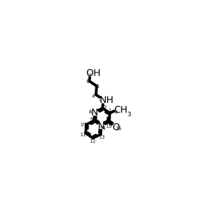 Cc1c(NCCCO)nc2ccccn2c1=O